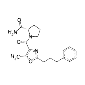 Cc1oc(CCCc2ccccc2)nc1C(=O)N1CCC[C@H]1C(N)=O